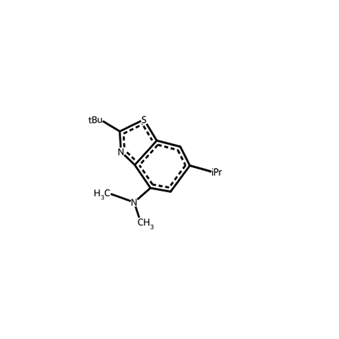 CC(C)c1cc(N(C)C)c2nc(C(C)(C)C)sc2c1